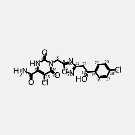 NC(=O)c1[nH]c(=O)n(Cc2nc(C[C@H](O)c3ccc(Cl)cc3)no2)c(=O)c1Cl